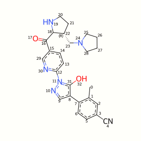 Cc1cc(C#N)ccc1-c1cnn(-c2ccc(C(=O)C3NCC[C@@H]3CN3CCCC3)cn2)c1O